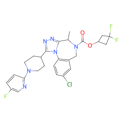 CC1c2nnc(C3CCN(c4ccc(F)cn4)CC3)n2-c2ccc(Cl)cc2CN1C(=O)OC1CC(F)(F)C1